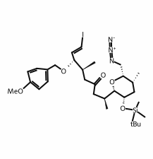 COc1ccc(CO[C@H](/C=C/I)[C@@H](C)CC(=O)C[C@H](C)[C@@H]2O[C@H](CN=[N+]=[N-])[C@H](C)C[C@@H]2O[Si](C)(C)C(C)(C)C)cc1